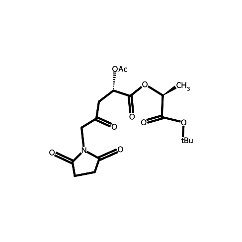 CC(=O)O[C@@H](CC(=O)CN1C(=O)CCC1=O)C(=O)O[C@@H](C)C(=O)OC(C)(C)C